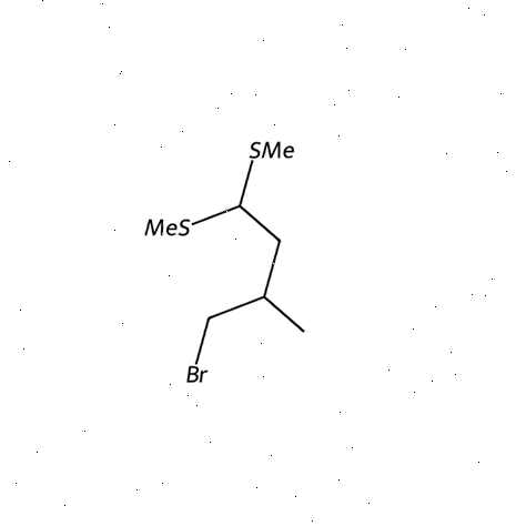 CSC(CC(C)CBr)SC